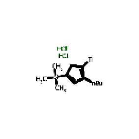 CCCCC1=[C]([Ti])CC([Si](C)(C)C)=C1.Cl.Cl